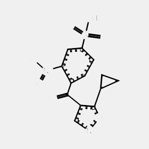 CS(=O)(=O)c1ccc(C(=O)c2cnoc2C2CC2)c([N+](=O)[O-])c1